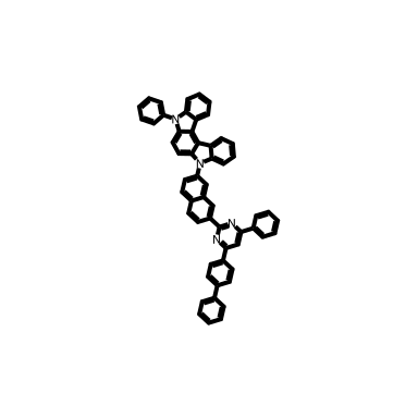 c1ccc(-c2ccc(-c3cc(-c4ccccc4)nc(-c4ccc5ccc(-n6c7ccccc7c7c8c9ccccc9n(-c9ccccc9)c8ccc76)cc5c4)n3)cc2)cc1